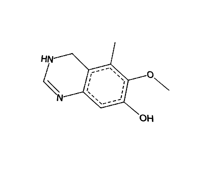 COc1c(O)cc2c(c1C)CNC=N2